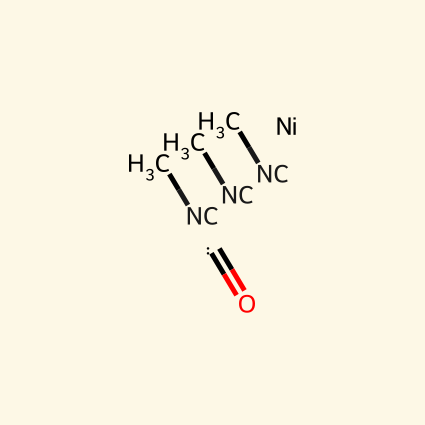 [C-]#[N+]C.[C-]#[N+]C.[C-]#[N+]C.[C]=O.[Ni]